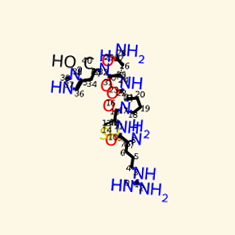 N=C(N)NCCC[C@H](N)C(=O)N[C@@H](CS)C(=O)N1CCC[C@H]1C(=O)N[C@@H](CC(N)=O)C(=O)N[C@@H](Cc1c[nH]cn1)C(=O)O